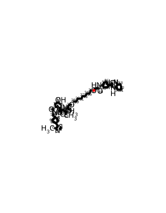 Cc1ncsc1-c1ccc(CNC(=O)[C@@H]2C[C@@H](O)CN2C(=O)[C@@H](NC(=O)COCCCCCCCCCOCC(=O)Nc2ccc(C(=O)Nc3ccccc3N)cc2)C(C)(C)C)cc1